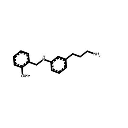 COc1ccccc1CNc1cccc(CCCN)c1